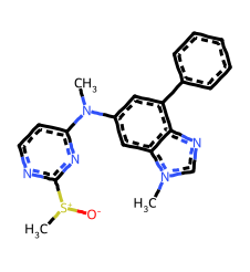 CN(c1cc(-c2ccccc2)c2ncn(C)c2c1)c1ccnc([S+](C)[O-])n1